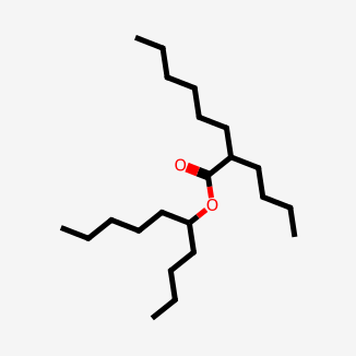 CCCCCCC(CCCC)C(=O)OC(CCCC)CCCCC